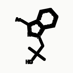 CC(=O)c1nn(CC(C)(C)O)c2ccccc12